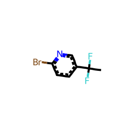 CC(F)(F)c1ccc(Br)nc1